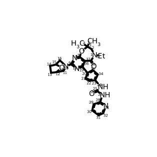 CCN1CC(C)(C)Oc2nc(N3CC4CCC(C3)O4)nc(-c3ccc(NC(=O)Nc4ccccn4)cc3)c2C1=O